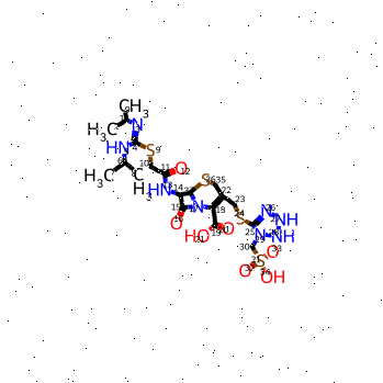 CC(C)/N=C(\NC(C)C)SCC(=O)NC1C(=O)N2C(C(=O)O)=C(CSC3=NNNN3CS(=O)(=O)O)CSC12